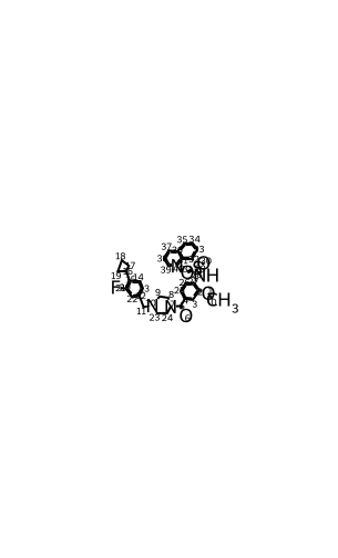 COc1cc(C(=O)N2CCN(Cc3ccc(C4CCC4)c(F)c3)CC2)ccc1NS(=O)(=O)c1cccc2cccnc12